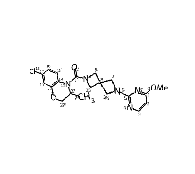 COc1ccnc(N2CC3(CN(C(=O)N4c5ccc(Cl)cc5OCC4C)C3)C2)n1